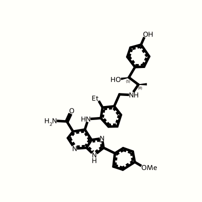 CCc1c(CN[C@H](C)[C@@H](O)c2ccc(O)cc2)cccc1Nc1c(C(N)=O)cnc2[nH]c(-c3ccc(OC)cc3)nc12